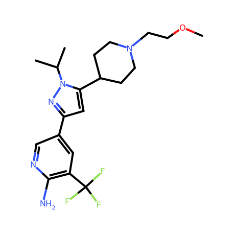 COCCN1CCC(c2cc(-c3cnc(N)c(C(F)(F)F)c3)nn2C(C)C)CC1